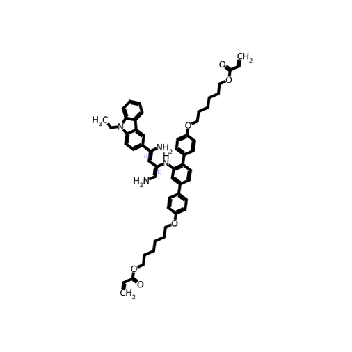 C=CC(=O)OCCCCCCOc1ccc(-c2ccc(-c3ccc(OCCCCCCOC(=O)C=C)cc3)c(NC(/C=C(\N)c3ccc4c(c3)c3ccccc3n4CC)=C/N)c2)cc1